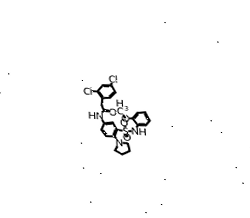 COc1ccccc1NS(=O)(=O)c1cc(NC(=O)Cc2ccc(Cl)cc2Cl)ccc1N1CCCC1